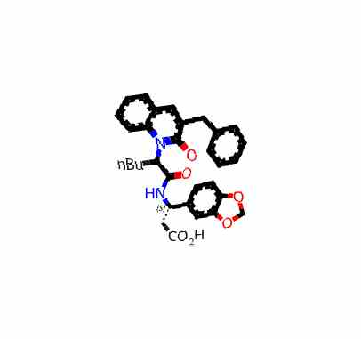 CCCCC(C(=O)N[C@@H](CC(=O)O)c1ccc2c(c1)OCO2)n1c(=O)c(Cc2ccccc2)cc2ccccc21